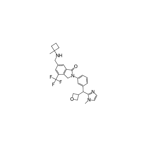 Cn1ccnc1C(c1cccc(N2Cc3c(cc(CNC4(C)CCC4)cc3C(F)(F)F)C2=O)c1)C1COC1